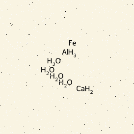 O.O.O.O.[AlH3].[CaH2].[Fe]